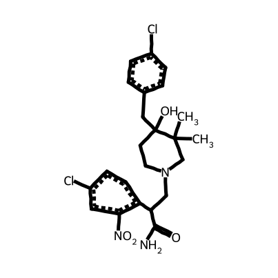 CC1(C)CN(CC(C(N)=O)c2ccc(Cl)cc2[N+](=O)[O-])CCC1(O)Cc1ccc(Cl)cc1